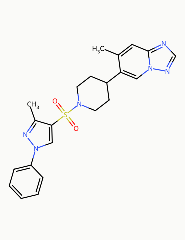 Cc1cc2ncnn2cc1C1CCN(S(=O)(=O)c2cn(-c3ccccc3)nc2C)CC1